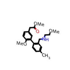 COCCNCc1cc(C)ccc1-c1cc(CC(=O)OC)ccc1OC